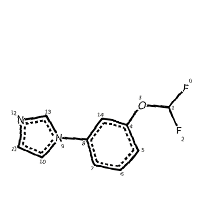 FC(F)Oc1cccc(-n2c[c]nc2)c1